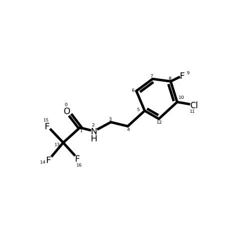 O=C(NCCc1ccc(F)c(Cl)c1)C(F)(F)F